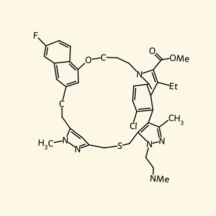 CCc1c(C(=O)OC)n2c3ccc(Cl)c(c13)-c1c(C)nn(CCNC)c1CSCc1cc(n(C)n1)CCc1cc(c3ccc(F)cc3c1)OCCC2